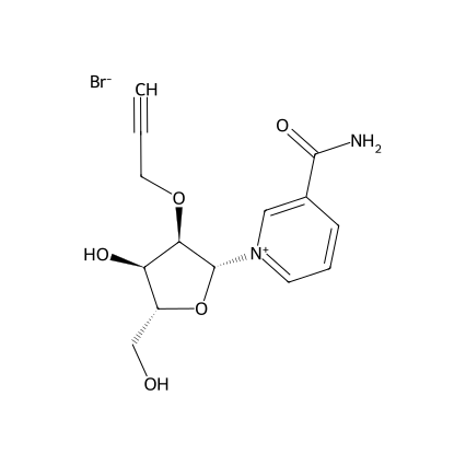 C#CCO[C@@H]1[C@H](O)[C@@H](CO)O[C@H]1[n+]1cccc(C(N)=O)c1.[Br-]